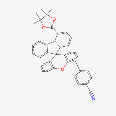 CC1(C)OB(C2=CC=CC3C2c2ccccc2C32c3ccccc3Oc3c(-c4ccc(C#N)cc4)cccc32)OC1(C)C